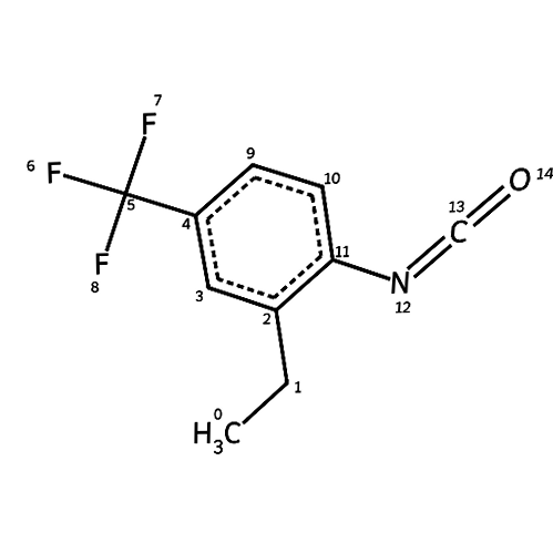 CCc1cc(C(F)(F)F)ccc1N=C=O